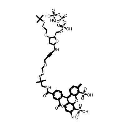 C=c1ccc2c(c1S(=O)(=O)O)Oc1c(ccc(N)c1S(=O)(=O)O)C=2c1ccc(C(=O)NCC(C)(C)SSCOCC#CB[C@H]2C[C@@H](OCSSC(C)(C)C)[C@@H](COP(=O)(O)OP(=O)(O)OP(=O)(O)O)O2)cc1C(=O)O